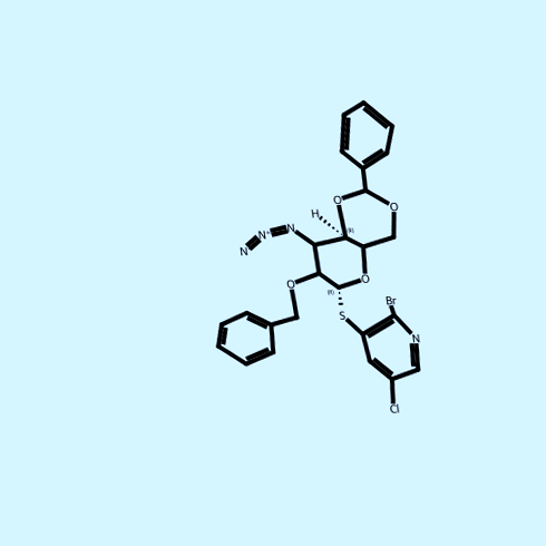 [N-]=[N+]=NC1C(OCc2ccccc2)[C@@H](Sc2cc(Cl)cnc2Br)OC2COC(c3ccccc3)O[C@@H]21